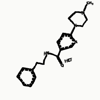 CN1CCN(c2ccc(C(=O)NCCc3ccccc3)cn2)CC1.Cl